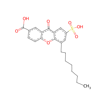 CCCCCCCCc1cc(S(=O)(=O)O)cc2c(=O)c3cc(C(=O)O)ccc3oc12